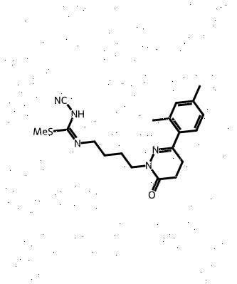 CSC(=NCCCCN1N=C(c2ccc(C)cc2C)CCC1=O)NC#N